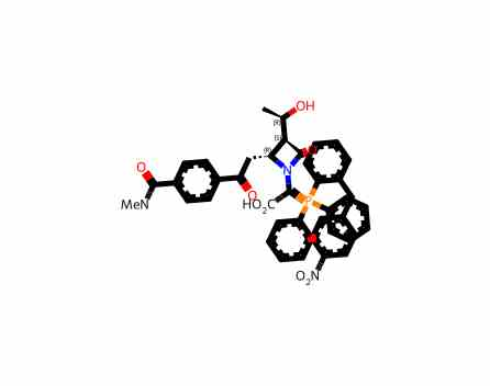 CNC(=O)c1ccc(C(=O)C[C@@H]2[C@@H]([C@@H](C)O)C(=O)N2C(C(=O)O)=P(c2ccccc2)(c2ccccc2)c2ccccc2Cc2ccc([N+](=O)[O-])cc2)cc1